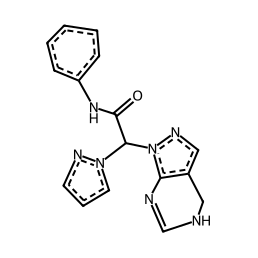 O=C(Nc1ccccc1)C(n1cccn1)n1ncc2c1N=CNC2